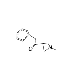 CN1CC(C(=O)Cc2ccccc2)C1